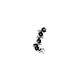 CN(C)c1ccc2nccc(Nc3ccc(C(=O)Nc4ccc(Nc5ccncc5)cc4)cn3)c2c1